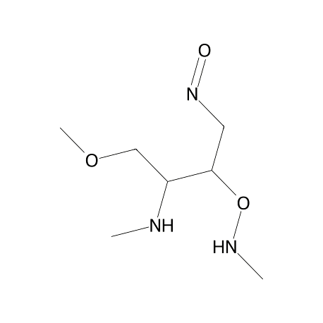 CNOC(CN=O)C(COC)NC